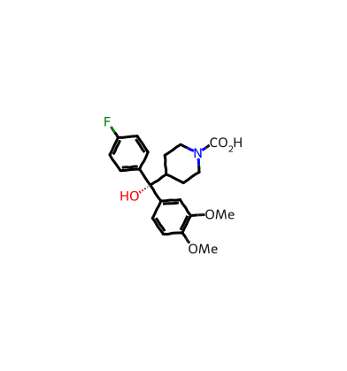 COc1ccc([C@@](O)(c2ccc(F)cc2)C2CCN(C(=O)O)CC2)cc1OC